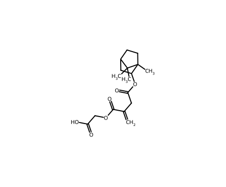 C=C(CC(=O)OC1CC2CCC1(C)C2(C)C)C(=O)OCC(=O)O